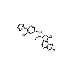 O=C(Nc1cnc(-n2nccn2)c(Cl)c1)C1CC2(CC2)c2c1cnc1cc(F)nn21